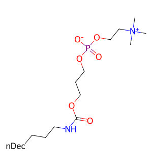 CCCCCCCCCCCCCNC(=O)OCCCOP(=O)([O-])OCC[N+](C)(C)C